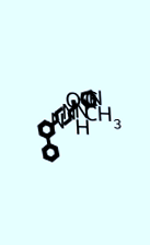 CC1(NC(=O)N2CCN(c3cccc(-c4ccccc4)c3)CC2)CN2CCC1CC2